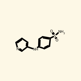 NS(=O)(=O)c1ccc(Nc2cccnc2)cc1